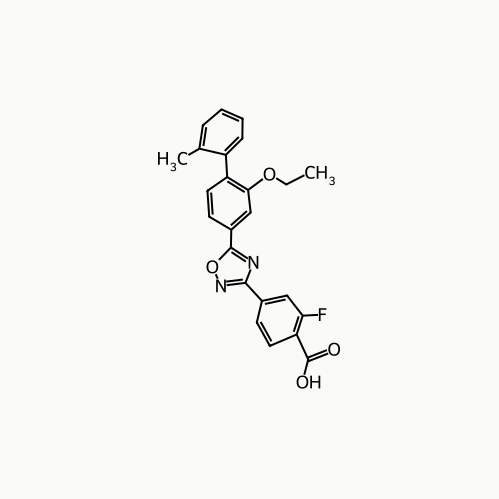 CCOc1cc(-c2nc(-c3ccc(C(=O)O)c(F)c3)no2)ccc1-c1ccccc1C